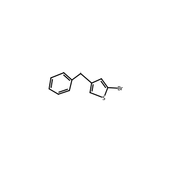 Brc1cc([CH]c2ccccc2)cs1